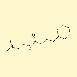 C[N+](C)CCNC(=O)CCCC1CCCCC1